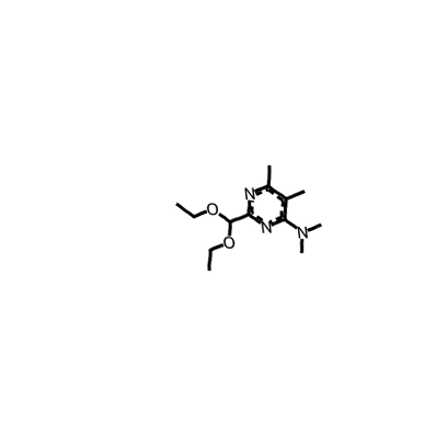 CCOC(OCC)c1nc(C)c(C)c(N(C)C)n1